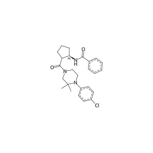 CC1(C)CN(C(=O)C2CCC[C@H]2NC(=O)c2ccccc2)CCN1c1ccc(Cl)cc1